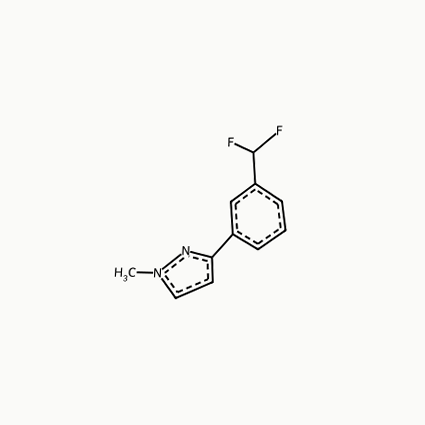 Cn1ccc(-c2cccc(C(F)F)c2)n1